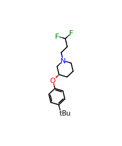 CC(C)(C)c1ccc(O[C@@H]2CCCN(CCC(F)F)C2)cc1